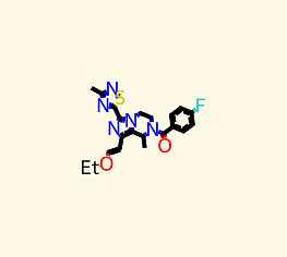 CCOC=Cc1nc(-c2nc(C)ns2)n2c1C(C)N(C(=O)c1ccc(F)cc1)CC2